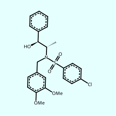 COc1ccc(CN([C@@H](C)[C@@H](O)c2ccccc2)S(=O)(=O)c2ccc(Cl)cc2)cc1OC